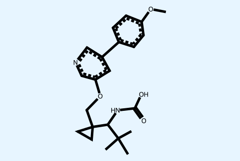 COc1ccc(-c2cncc(OCC3(C(NC(=O)O)C(C)(C)C)CC3)c2)cc1